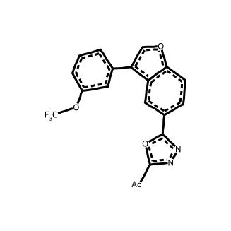 CC(=O)c1nnc(-c2ccc3occ(-c4cccc(OC(F)(F)F)c4)c3c2)o1